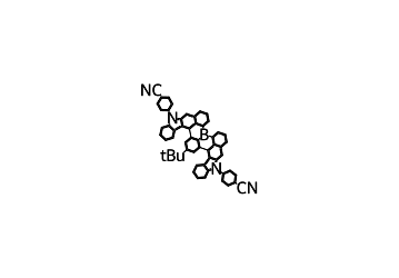 CC(C)(C)c1cc2c3c(c1)-c1c4c(cccc4cc4c1c1ccccc1n4-c1ccc(C#N)cc1)B3c1cccc3cc4c(c-2c13)c1ccccc1n4-c1ccc(C#N)cc1